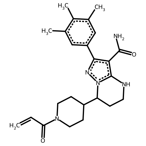 C=CC(=O)N1CCC(C2CCNc3c(C(N)=O)c(-c4cc(C)c(C)c(C)c4)nn32)CC1